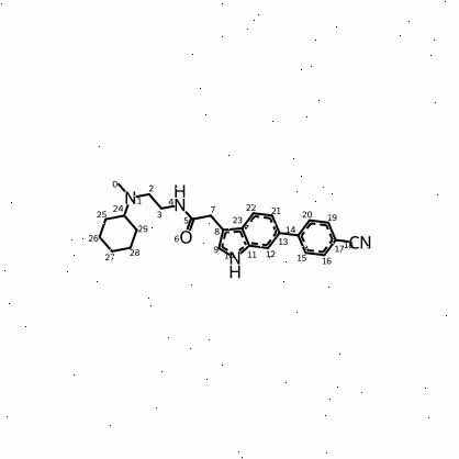 CN(CCNC(=O)Cc1c[nH]c2cc(-c3ccc(C#N)cc3)ccc12)C1CCCCC1